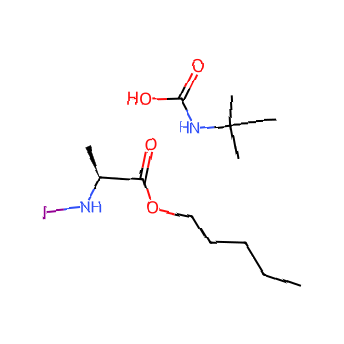 CC(C)(C)NC(=O)O.CCCCCOC(=O)[C@H](C)NI